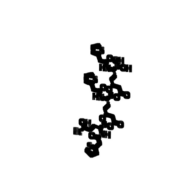 CC[C@@H](O)CC[C@H](NC(=O)Cc1cccs1)B1OC(=O)C[C@H](CC[C@H](NC(=O)Cc2cccs2)B2OC(=O)C[C@H](CC[C@H](NC(=O)Cc3cccs3)B(O)O)O2)O1